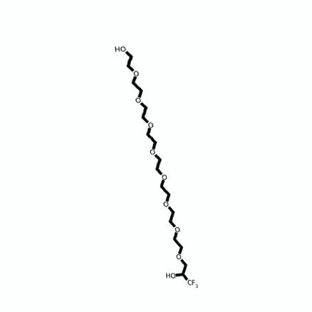 OCCOCCOCCOCCOCCOCCOCCOCCOCC(O)C(F)(F)F